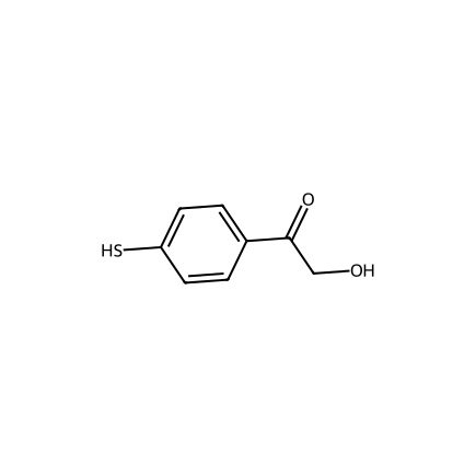 O=C(CO)c1ccc(S)cc1